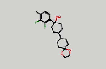 Cc1ccc(C2(O)CCC(C3CCC4(CC3)OCCO4)CC2)c(F)c1F